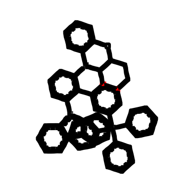 c1ccc([Si](c2ccccc2)(c2ccccc2)c2cccc(-c3c(N4c5ccccc5OC5CCCCC54)cccc3-n3c4ccccc4c4ccccc43)c2)cc1